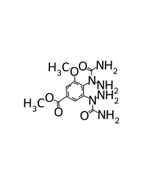 COC(=O)c1cc(OC)c(N(N)C(N)=O)c(N(N)C(N)=O)c1